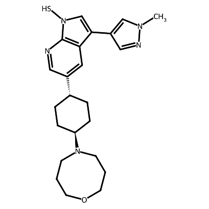 Cn1cc(-c2cn(S)c3ncc([C@H]4CC[C@H](N5CCCOCCC5)CC4)cc23)cn1